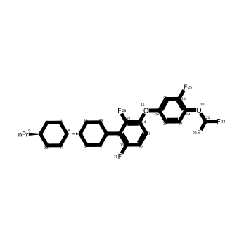 CCC[C@H]1CC[C@H](C2CCC(c3c(F)c[c]c(Oc4ccc(OC(F)F)c(F)c4)c3F)CC2)CC1